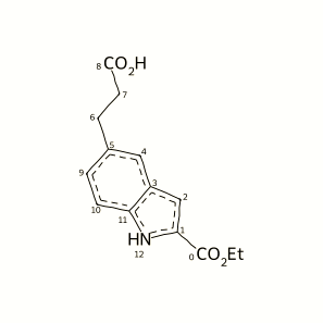 CCOC(=O)c1cc2cc(CCC(=O)O)ccc2[nH]1